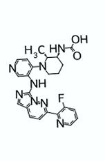 C[C@H]1[C@@H](NC(=O)O)CCCN1c1ccncc1Nc1ncc2ccc(-c3ncccc3F)nn12